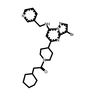 O=C(CC1CCCCC1)N1CCC(c2cc(NCc3cccnc3)n3ncc(Br)c3n2)CC1